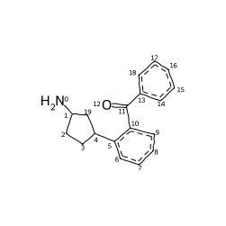 NC1CCC(c2ccccc2C(=O)c2ccccc2)C1